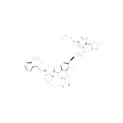 CC[C@H](NC)C(=O)N[C@H](C(=O)N1CCC[C@H]1C(=O)N[C@@H]1CCCc2ccccc21)c1ccc(C#CCO[C@H](C)[C@H](NC(=O)[C@H](C)NC)C(=O)N2CCCC2)cc1